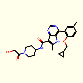 Cc1ccc(OCC2CC2)c(-c2ncnc3c(C(=O)NC4CCN(C(=O)CO)CC4)c(C)[nH]c23)c1